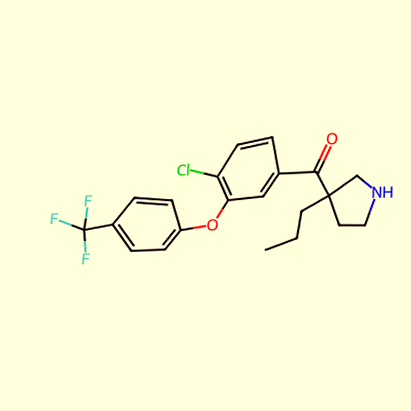 CCCC1(C(=O)c2ccc(Cl)c(Oc3ccc(C(F)(F)F)cc3)c2)CCNC1